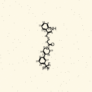 O=C(CSCc1c[nH]c2ccccc12)N1CC=C(c2cccc(C(F)(F)F)c2)CC1